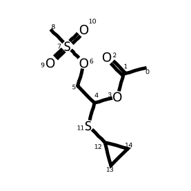 CC(=O)OC(COS(C)(=O)=O)SC1CC1